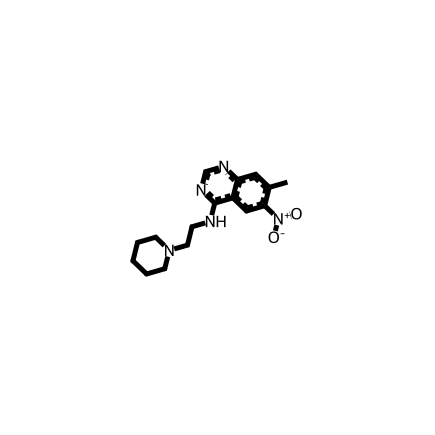 Cc1cc2ncnc(NCCN3CCCCC3)c2cc1[N+](=O)[O-]